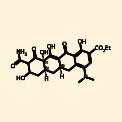 CCOC(=O)c1cc(N(C)C)c2c(c1O)C(=O)C1=C(O)[C@]3(O)C(=O)C(C(N)=O)C(O)C[C@@H]3C[C@@H]1C2